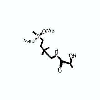 CO[Si](C)(CCC(C)(C)CNC(=O)C(C)O)OC